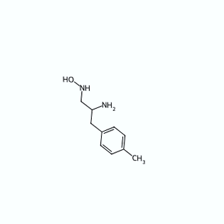 Cc1ccc(CC(N)CNO)cc1